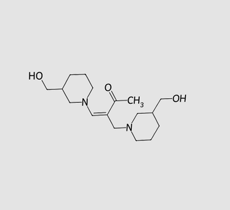 CC(=O)/C(=C\N1CCCC(CO)C1)CN1CCCC(CO)C1